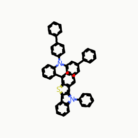 c1ccc(-c2ccc(N(c3cccc(-c4ccccc4)c3)c3ccccc3-c3cccc4c3sc3c5ccccc5n(-c5ccccc5)c43)cc2)cc1